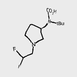 CC(C)(C)N(C(=O)O)[C@@H]1CCN(CC(F)F)C1